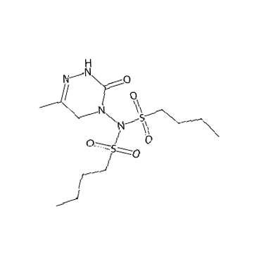 CCCCS(=O)(=O)N(N1CC(C)=NNC1=O)S(=O)(=O)CCCC